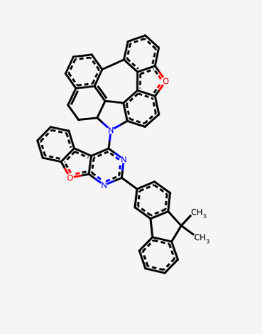 CC1(C)c2ccccc2-c2cc(-c3nc(N4c5ccc6oc7cccc8c7c6c5C5=c6c-8cccc6=CCC54)c4c(n3)oc3ccccc34)ccc21